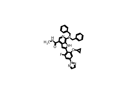 CNC(=O)c1cnc(N(Cc2ccccc2)Cc2ccccc2)c2[nH]c(-c3c(F)cc(-n4nccn4)cc3OC3CC3)cc12